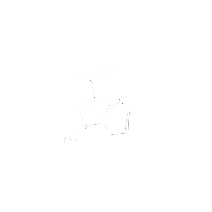 CC(=O)c1cn(O)c2cccnc12